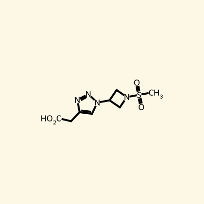 CS(=O)(=O)N1CC(n2cc(CC(=O)O)nn2)C1